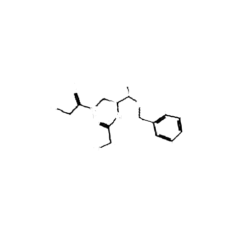 C[C@@H](OCc1ccccc1)[C@H](CNC(=O)CCl)NC(=O)CCl